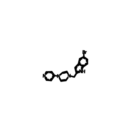 Brc1ccc2[nH]c(CN3C=CN(c4ccncc4)C=C3)cc2c1